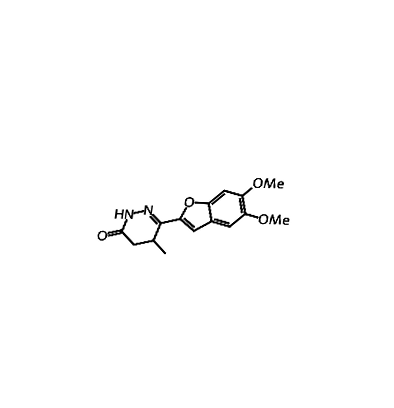 COc1cc2cc(C3=NNC(=O)CC3C)oc2cc1OC